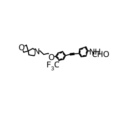 O=CNc1ccc(C#Cc2ccc(OCCCN3CCC4(COC4)C3)c(C(F)(F)F)c2)cc1